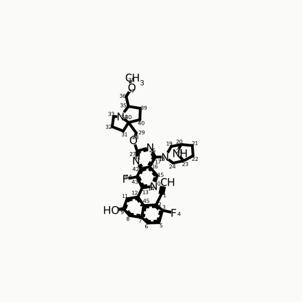 C#Cc1c(F)ccc2cc(O)cc(-c3ncc4c(N5CC6CCC(C5)N6)nc(OCC56CCCN5C(COC)CC6)nc4c3F)c12